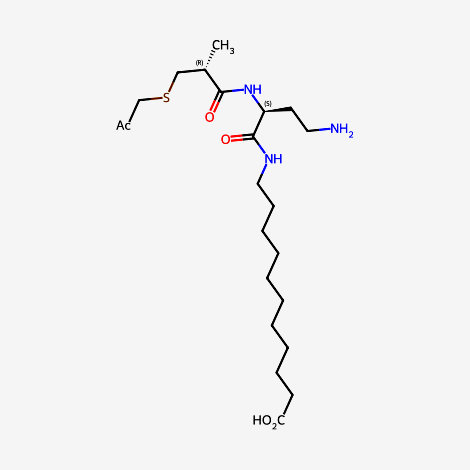 CC(=O)CSC[C@H](C)C(=O)N[C@@H](CCN)C(=O)NCCCCCCCCCCC(=O)O